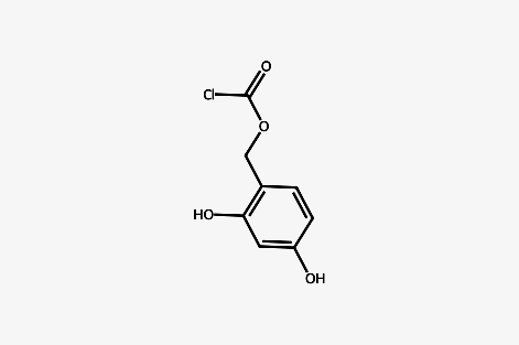 O=C(Cl)OCc1ccc(O)cc1O